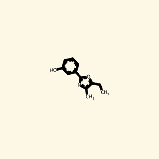 CCc1oc(-c2cccc(O)c2)nc1C